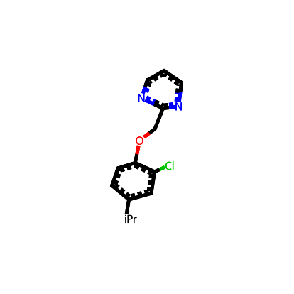 CC(C)c1ccc(OCc2ncccn2)c(Cl)c1